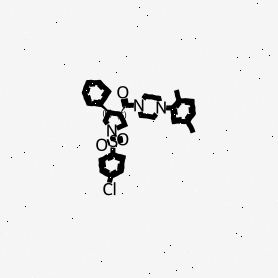 Cc1ccc(C)c(N2CCN(C(=O)[C@@H]3CN(S(=O)(=O)c4ccc(Cl)cc4)C[C@H]3c3ccccc3)CC2)c1